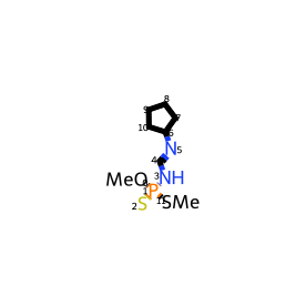 COP(=S)(N/C=N/C1CCCC1)SC